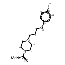 CNC(=S)N1CCN(CCCSc2ccc(F)cc2)CC1